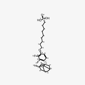 O=P(O)(O)CCCCCCCCCOc1ccc([C@]23CC4CC(C[C@H](C4)C2)C3)c(F)c1F